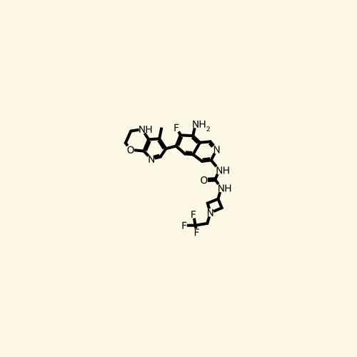 Cc1c(-c2cc3cc(NC(=O)NC4CN(CC(F)(F)F)C4)ncc3c(N)c2F)cnc2c1NCCO2